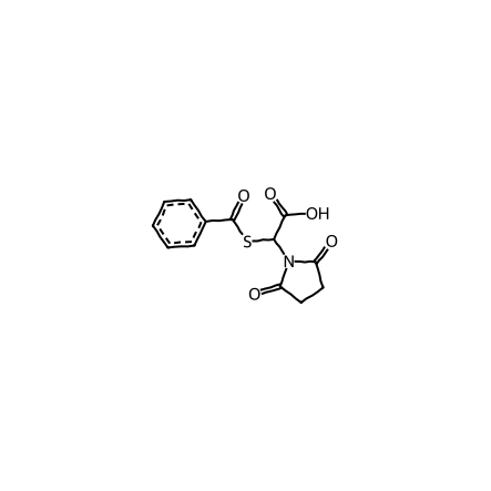 O=C(SC(C(=O)O)N1C(=O)CCC1=O)c1ccccc1